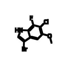 COc1cc2c(Br)c[nH]c2c(F)c1Cl